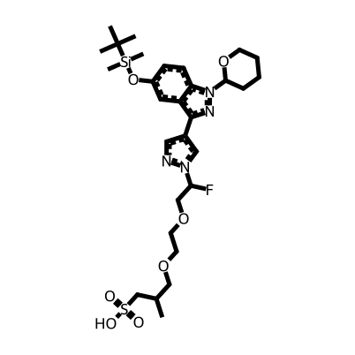 CC(COCCOCC(F)n1cc(-c2nn(C3CCCCO3)c3ccc(O[Si](C)(C)C(C)(C)C)cc23)cn1)CS(=O)(=O)O